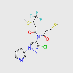 CSCCC(=O)N(C(=O)CC(SC)C(F)(F)F)c1cn(-c2cccnc2)nc1Cl